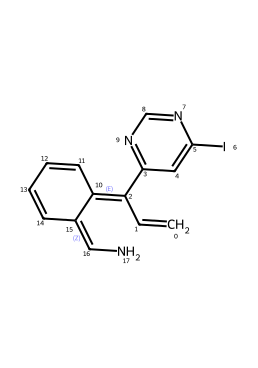 C=C/C(c1cc(I)ncn1)=c1/cccc/c1=C/N